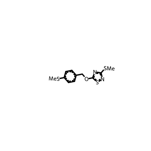 CSc1ccc(COc2nc(SC)ns2)cc1